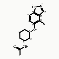 CC(=O)N[C@@H]1CCC[C@@H](Oc2ccc3[nH]ncc3c2C)C1